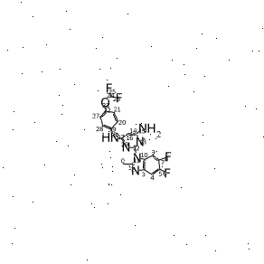 Cc1nc2cc(F)c(F)cc2n1-c1nc(N)cc(Nc2ccc(OC(F)F)cc2)n1